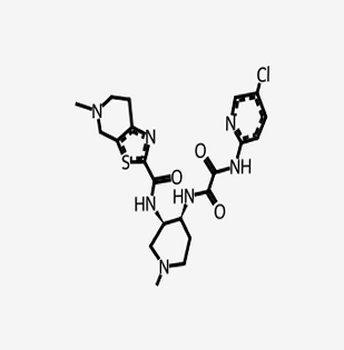 CN1CCc2nc(C(=O)N[C@@H]3CN(C)CC[C@@H]3NC(=O)C(=O)Nc3ccc(Cl)cn3)sc2C1